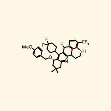 COc1ccc(CO[C@H]2CC(C)(C)Cc3nc(C4CCNCC4)c(C(F)c4ccc(C(F)(F)F)cc4)c(C4CCC(F)(F)CC4)c32)cc1